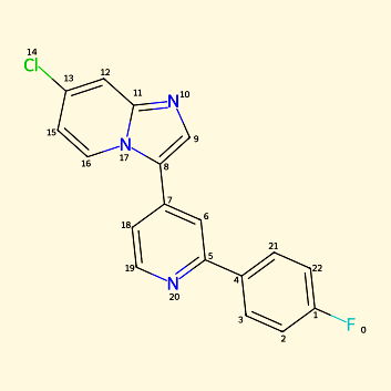 Fc1ccc(-c2cc(-c3cnc4cc(Cl)ccn34)ccn2)cc1